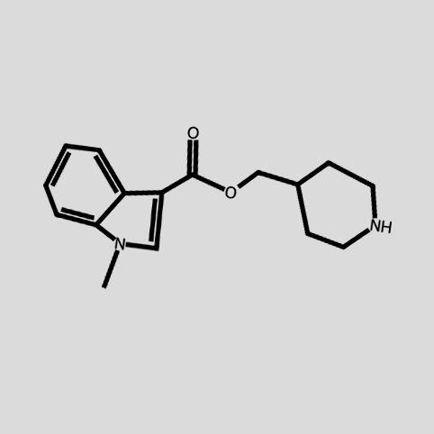 Cn1cc(C(=O)OCC2CCNCC2)c2ccccc21